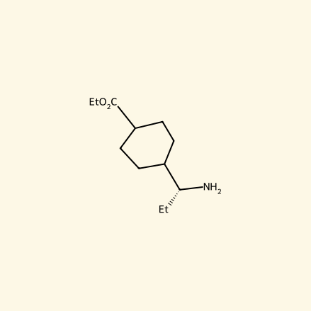 CCOC(=O)C1CCC([C@H](N)CC)CC1